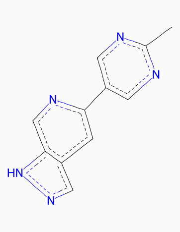 Cc1ncc(-c2cc3cn[nH]c3cn2)cn1